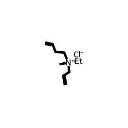 C=CCC[N+](C)(CC)CC=C.[Cl-]